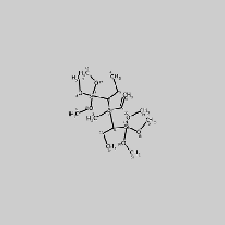 C=C[Si](C)(C(CC)[Si](OC)(OC)OC)C(CC)[Si](OC)(OC)OC